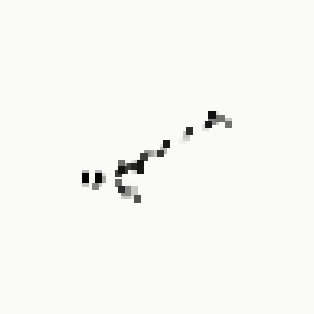 CCCCCCCOOC(N)N